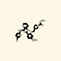 CSc1ccc(C(=O)Nc2cccnc2C(=O)Nc2ccc(Cl)cn2)c(OCC2CCN(C(=O)OC(C)(C)C)C2)c1